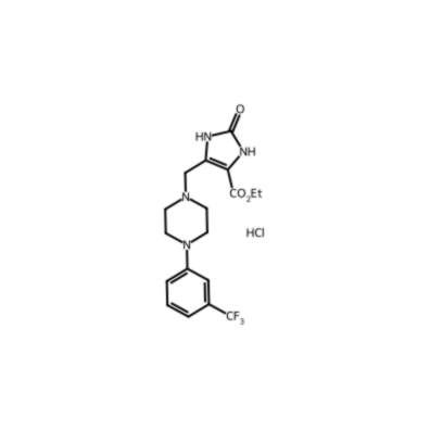 CCOC(=O)c1[nH]c(=O)[nH]c1CN1CCN(c2cccc(C(F)(F)F)c2)CC1.Cl